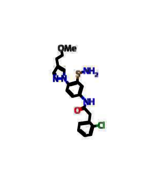 COCCc1cnn(-c2ccc(NC(=O)Cc3ccccc3Cl)cc2SN)c1